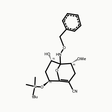 CO[C@@H]1CC(C#N)=C2OC1(NOCc1ccccc1)[C@@H](O)C[C@@H]2O[Si](C)(C)C(C)(C)C